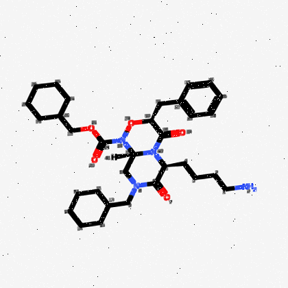 NCCCC[C@H]1C(=O)N(CC2CCCCC2)C[C@@H]2N(C(=O)OCC3CCCCC3)O[C@@H](Cc3ccccc3)C(=O)N21